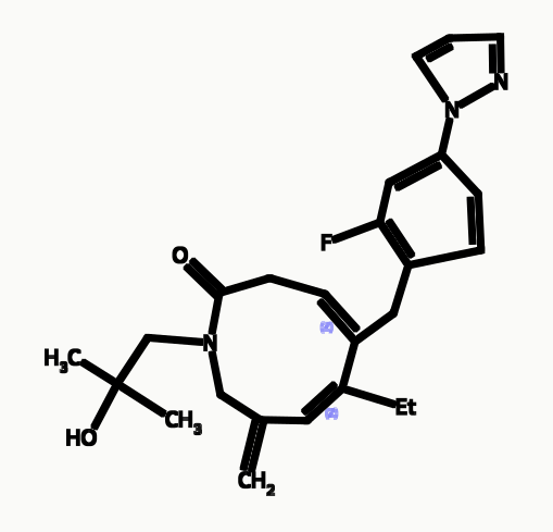 C=C1/C=C(CC)\C(Cc2ccc(-n3cccn3)cc2F)=C/CC(=O)N(CC(C)(C)O)C1